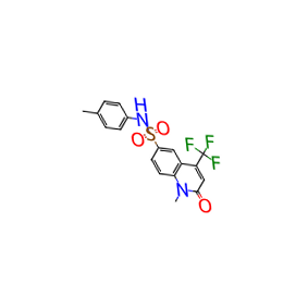 Cc1ccc(NS(=O)(=O)c2ccc3c(c2)c(C(F)(F)F)cc(=O)n3C)cc1